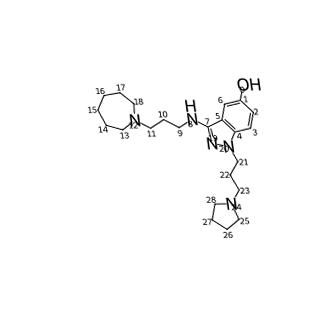 Oc1ccc2c(c1)c(NCCCN1CCCCCC1)nn2CCCN1CCCC1